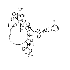 CC(C)(C)OC(=O)N[C@H]1CCCCC/C=C/[C@@H]2C[C@@]2(C(=O)NS(=O)(=O)C2CC2)NC(=O)[C@@H]2C[C@@H](OC(=O)N3Cc4cccc(F)c4C3)CN2C1=O